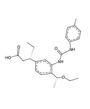 CCO[C@H](C)c1ccc([C@@H](CC)CC(=O)O)cc1NC(=O)Nc1ccc(C)cc1